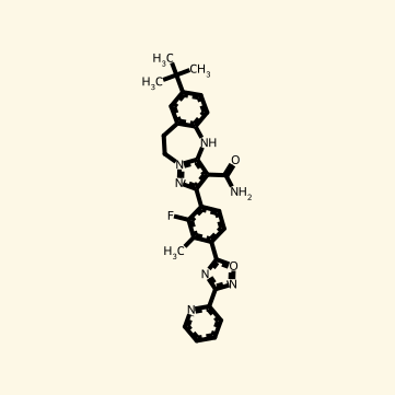 Cc1c(-c2nc(-c3ccccn3)no2)ccc(-c2nn3c(c2C(N)=O)Nc2ccc(C(C)(C)C)cc2CC3)c1F